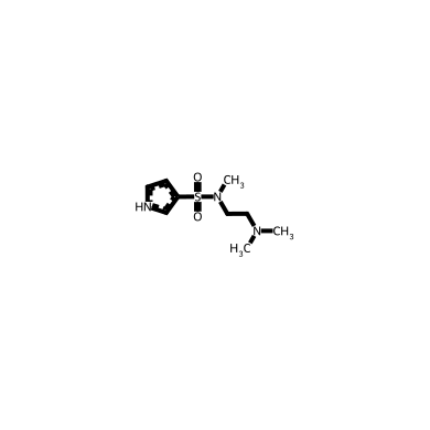 CN(C)CCN(C)S(=O)(=O)c1cc[nH]c1